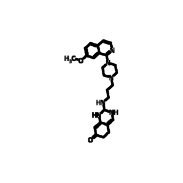 COc1ccc2ccnc(N3CCN(CCCNC4NC=C5CCC(=O)C=C5N4)CC3)c2c1